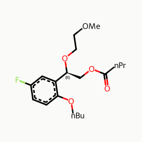 CCCCOc1ccc(F)cc1[C@H](COC(=O)CCC)OCCOC